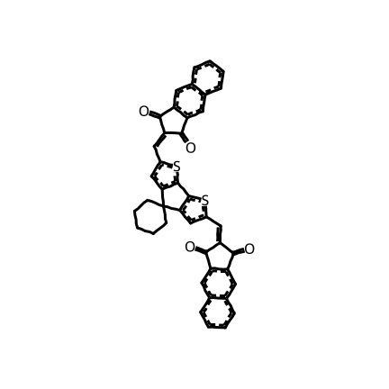 O=C1C(=Cc2cc3c(s2)-c2sc(C=C4C(=O)c5cc6ccccc6cc5C4=O)cc2C32CCCCC2)C(=O)c2cc3ccccc3cc21